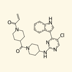 C=CC(=O)N1CCC(C(=O)N2CCC(Nc3ncc(Cl)c(-c4c[nH]c5ccccc45)n3)CC2)CC1